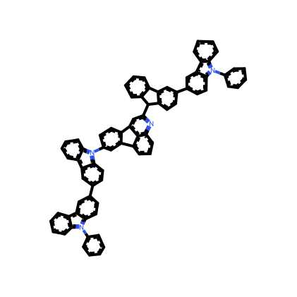 c1ccc(-n2c3ccccc3c3cc(-c4ccc5c(c4)-c4ccccc4C5c4cc5c6c(cccc6n4)-c4cc(-n6c7ccccc7c7cc(-c8ccc9c(c8)c8ccccc8n9-c8ccccc8)ccc76)ccc4-5)ccc32)cc1